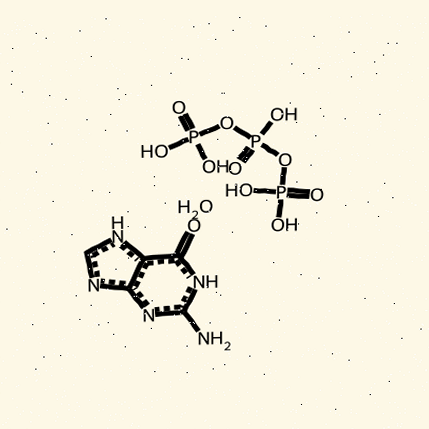 Nc1nc2nc[nH]c2c(=O)[nH]1.O.O=P(O)(O)OP(=O)(O)OP(=O)(O)O